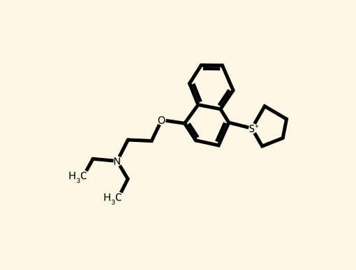 CCN(CC)CCOc1ccc([S+]2CCCC2)c2ccccc12